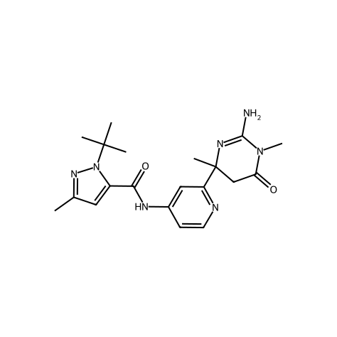 Cc1cc(C(=O)Nc2ccnc(C3(C)CC(=O)N(C)C(N)=N3)c2)n(C(C)(C)C)n1